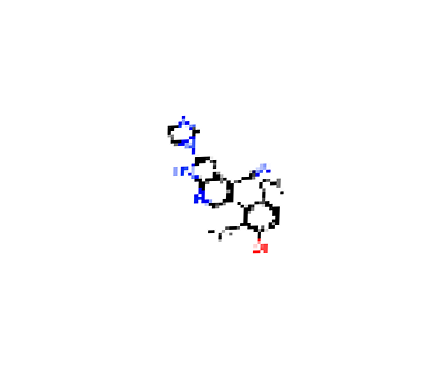 Cc1ccc(O)c(C)c1-c1cnc2[nH]c(-n3ccnc3)cc2c1C#N